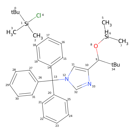 CC(C)(C)[Si](C)(C)Cl.C[SiH](C)OC(c1cn(C(c2ccccc2)(c2ccccc2)c2ccccc2)cn1)C(C)(C)C